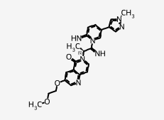 COCCOc1cnc2ccn([C@@H](C)C(=N)n3cc(-c4cnn(C)c4)ccc3=N)c(=O)c2c1